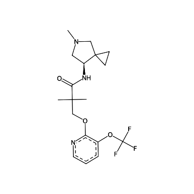 CN1C[C@H](NC(=O)C(C)(C)COc2ncccc2OC(F)(F)F)C2(CC2)C1